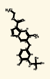 CCOC(=O)c1cnn2cc(Cc3ccc(F)c(OC(F)(F)F)c3)c(C)nc12